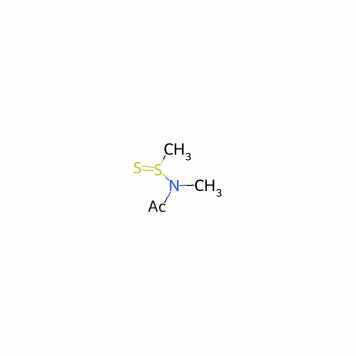 CC(=O)N(C)S(C)=S